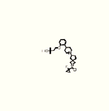 CC(C)(O)CCOc1ccccc1C1CCN(C2CCC3(C2)CN(C(=O)C2(F)CC2)C3)CC1